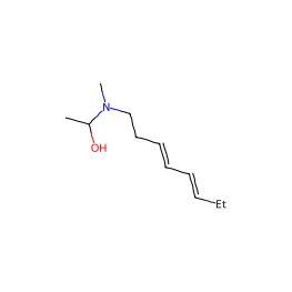 CCC=CC=CCCN(C)C(C)O